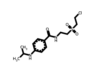 CC(C)Nc1ccc(C(=O)NCCS(=O)(=O)CCCl)cc1